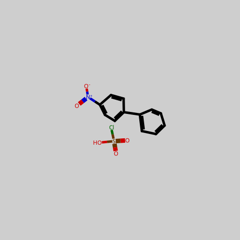 O=S(=O)(O)Cl.O=[N+]([O-])c1ccc(-c2ccccc2)cc1